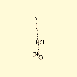 CCCCCCCCCCCCCCCCCCCCC(c1ccccc1)N(CC)CC.Cl